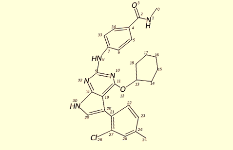 CNC(=O)c1ccc(Nc2nc(OC3CCCCC3)c3c(-c4ccc(C)cc4Cl)c[nH]c3n2)cc1